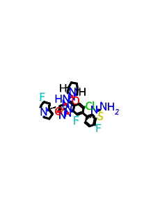 Nc1nc2c(-c3c(Cl)cc4c(N5C[C@H]6CC[C@@H](C5)N6C(=O)Nc5ccncn5)nc(OC[C@@]56CCCN5C[C@H](F)C6)nc4c3F)ccc(F)c2s1